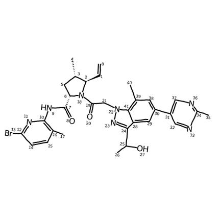 C=C[C@@H]1[C@@H](C)C[C@@H](C(=O)Nc2nc(Br)ccc2C)N1C(=O)Cn1nc(C(C)O)c2cc(-c3cnc(C)nc3)cc(C)c21